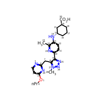 CCCOc1ccnc(Cc2c(-c3ccc(N[C@H]4CCC[C@H](C(=O)O)C4)c(C)n3)nnn2C)n1